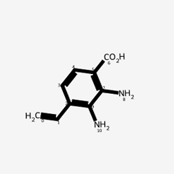 C=Cc1ccc(C(=O)O)c(N)c1N